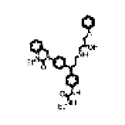 CCNC(=O)Nc1ccc(C(CCNC[C@H](O)COc2ccccc2)c2ccc(N(Cc3ccccc3)C(=O)NCC)cc2)cc1